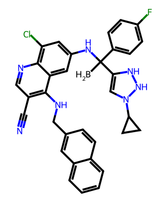 BC(Nc1cc(Cl)c2ncc(C#N)c(NCc3ccc4ccccc4c3)c2c1)(C1=CN(C2CC2)NN1)c1ccc(F)cc1